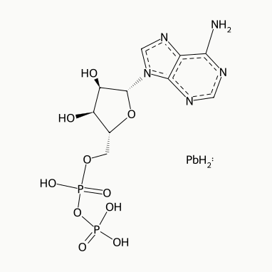 Nc1ncnc2c1ncn2[C@@H]1O[C@H](COP(=O)(O)OP(=O)(O)O)[C@@H](O)[C@H]1O.[PbH2]